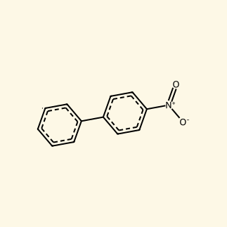 O=[N+]([O-])c1ccc(-c2c[c]ccc2)cc1